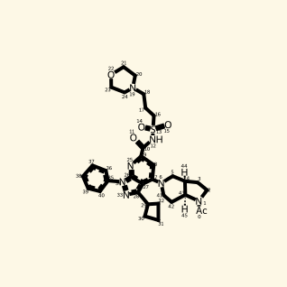 CC(=O)N1CC[C@@H]2CN(c3cc(C(=O)NS(=O)(=O)CCCN4CCOCC4)nc4c3c(C3CCC3)nn4-c3ccccc3)CC[C@@H]21